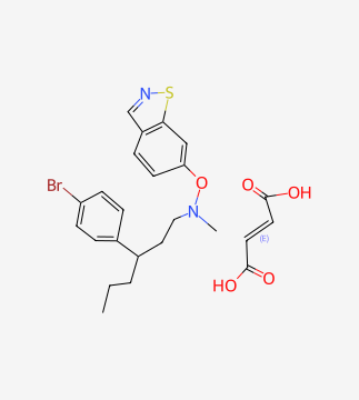 CCCC(CCN(C)Oc1ccc2cnsc2c1)c1ccc(Br)cc1.O=C(O)/C=C/C(=O)O